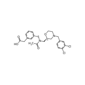 CC(=O)N(C[C@@H]1CN(Cc2ccc(Cl)c(Cl)c2)CCO1)Sc1cccc(CC(=O)O)c1